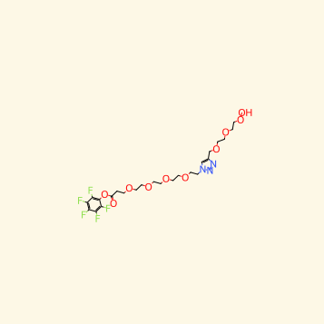 O=C(CCOCCOCCOCCOCCn1cc(COCCOCCOO)nn1)Oc1c(F)c(F)c(F)c(F)c1F